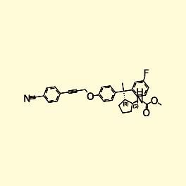 COC(=O)N[C@H]1CCC[C@@H]1C(C)(c1ccc(OCC#Cc2ccc(C#N)cc2)cc1)c1cccc(F)c1